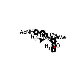 COc1cc(C(=O)N2CC3CCC2[C@@H]3C)cc2nc(-c3cc4ccc(-c5ccc(NC(C)=O)cc5C)nc4n3CC3CC3)n(C)c12